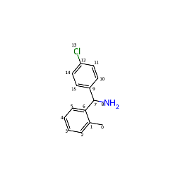 Cc1ccccc1C(N)c1ccc(Cl)cc1